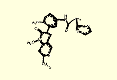 Cc1cc2c(cn1)cc(-c1cc(NC(=O)Nc3nccs3)ccc1C)c(=O)n2C